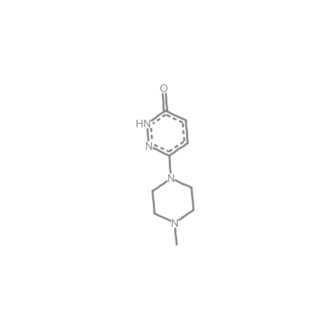 CN1CCN(c2ccc(=O)[nH]n2)CC1